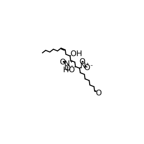 CCCCC/C=C\CC(O)C(CC(O)C(CCCCCCC=O)[N+](=O)[O-])[N+](=O)[O-]